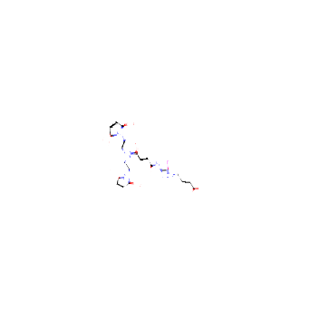 O=C(O)CCCNC(=O)CNC(=O)CCC(=O)N(CCN1C(=O)C=CC1=O)CCN1C(=O)C=CC1=O